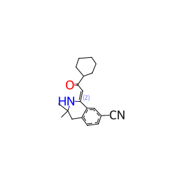 CC1(C)Cc2ccc(C#N)cc2/C(=C/C(=O)C2CCCCC2)N1